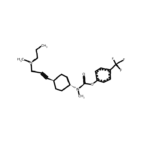 CCCN(C)CC#C[C@H]1CC[C@H](N(C)C(=O)Oc2ccc(C(F)(F)F)cc2)CC1